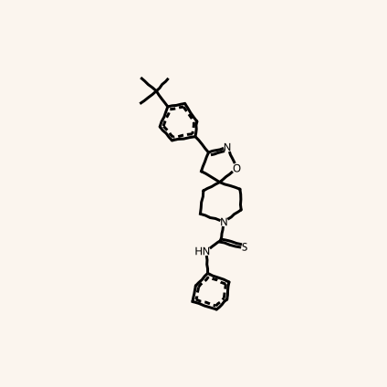 CC(C)(C)c1ccc(C2=NOC3(CCN(C(=S)Nc4ccccc4)CC3)C2)cc1